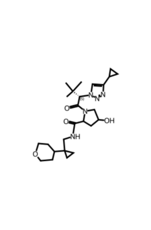 CC(C)(C)[C@@H](C(=O)N1CC(O)CC1C(=O)NCC1(C2CCOCC2)CC1)n1cc(C2CC2)nn1